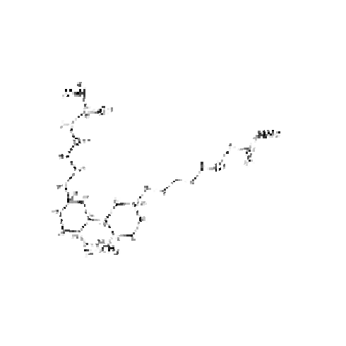 CNC(=O)COCCCCCN1CC[C@H](C)C(C2CN(CCCOCC(=O)NC)CC[C@H]2C)C1